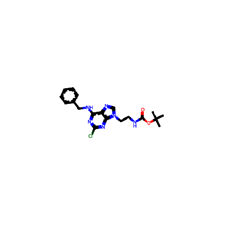 CC(C)(C)OC(=O)NCCn1cnc2c(NCc3ccccc3)nc(Cl)nc21